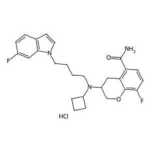 Cl.NC(=O)c1ccc(F)c2c1CC(N(CCCCn1ccc3ccc(F)cc31)C1CCC1)CO2